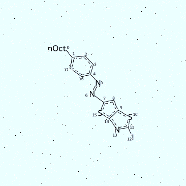 CCCCCCCCc1ccc(N=Nc2cc3sc(I)nc3s2)cc1